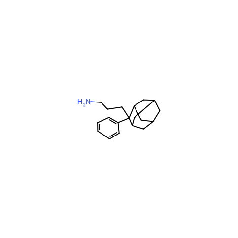 NCCCC1(c2ccccc2)C2CC3CC(C2)CC1C3